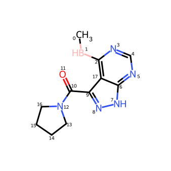 CBc1ncnc2[nH]nc(C(=O)N3CCCC3)c12